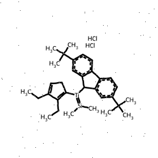 CCC1=CC[C]([Ti]([CH]2c3cc(C(C)(C)C)ccc3-c3ccc(C(C)(C)C)cc32)=[Si](C)C)=C1CC.Cl.Cl